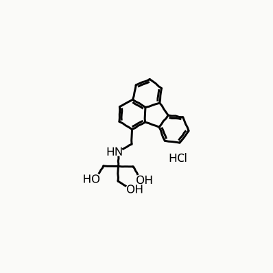 Cl.OCC(CO)(CO)NCc1ccc2cccc3c2c1-c1ccccc1-3